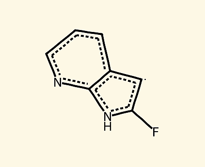 Fc1[c]c2cccnc2[nH]1